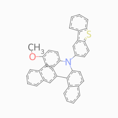 COc1ccc(N(c2ccc3sc4ccccc4c3c2)c2ccc3ccccc3c2-c2ccc3ccccc3c2)cc1